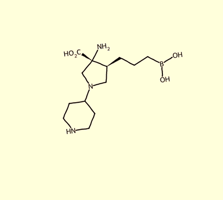 N[C@@]1(C(=O)O)CN(C2CCNCC2)C[C@@H]1CCCB(O)O